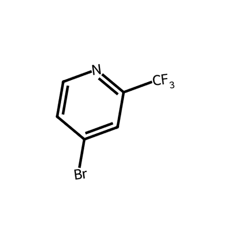 FC(F)(F)c1cc(Br)ccn1